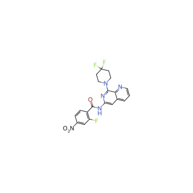 O=C(Nc1cc2cccnc2c(N2CCC(F)(F)CC2)n1)c1ccc([N+](=O)[O-])cc1F